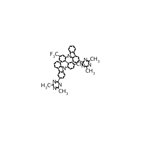 Cc1nc(C)nc(-c2ccc3c(c2)c2ccccc2n3-c2ccc(C#N)cc2-c2ccc(C(F)(F)F)cc2-n2c3ccccc3c3cc(-c4nc(C)nc(C)n4)ccc32)n1